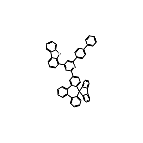 c1ccc(-c2ccc(-c3cc(-c4cccc5c4oc4ccccc45)nc(-c4ccc5c(c4)-c4ccccc4-c4ccccc4C54c5ccccc5-c5ccccc54)n3)cc2)cc1